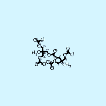 CC(COC(=O)Cl)(COC(=O)Cl)COC(=O)OCC(C)(COC(=O)Cl)COC(=O)Cl